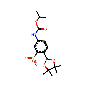 CC(C)OC(=O)Nc1ccc(B2OC(C)(C)C(C)(C)O2)c([SH](=O)=O)c1